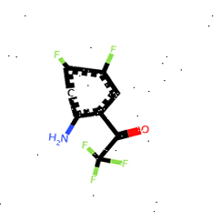 Nc1cc(F)c(F)cc1C(=O)C(F)(F)F